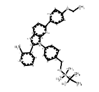 CCOc1ccc(-c2ccc3nc(-c4cccnc4N)n(-c4ccc(CO[Si](C)(C)C(C)(C)C)cc4)c3n2)nc1